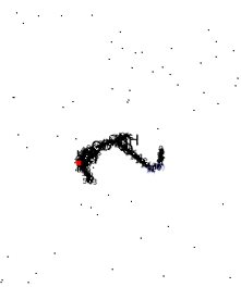 CCCCC/C=C\C/C=C\CCCCCCCCOCOCC(CNCC)OCCOCCO[C@H]1CC[C@@]2(C)C(=CC[C@H]3[C@@H]4CC[C@H]([C@H](C)CCCC(C)C)[C@@]4(C)CC[C@@H]32)C1